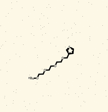 CCCCOCCOCCOCCOCc1ccsc1